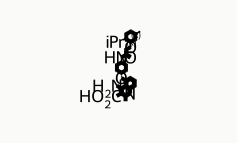 Cc1nc2cccc(O[C@H]3CC[C@H](NC(=O)CO[C@@H]4C[C@H](C)CCC4C(C)C)CC3)c2c(N)c1C(=O)O